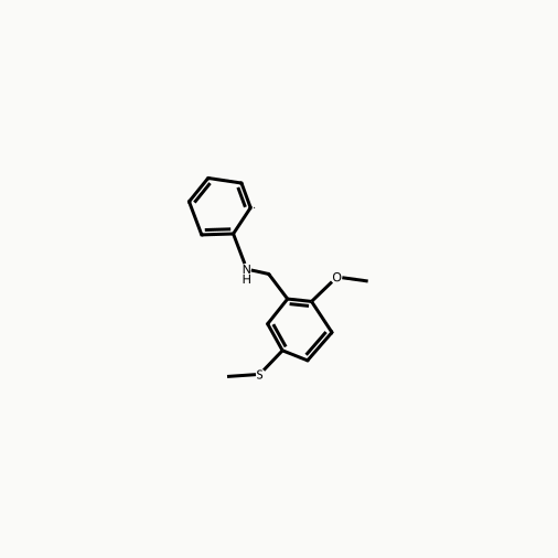 COc1ccc(SC)cc1CNc1[c]cccc1